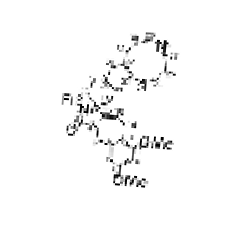 CCN1C(=O)N2Cc3cc(OC)cc(OC)c3CC=C2C12CCN(C/C1=C/C=C\C/C=N\C=C/C1)CC2